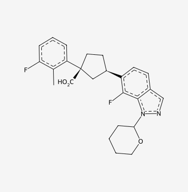 Cc1c(F)cccc1[C@]1(C(=O)O)CC[C@@H](c2ccc3cnn(C4CCCCO4)c3c2F)C1